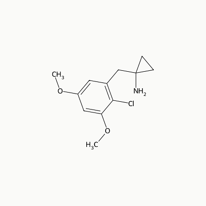 COc1cc(CC2(N)CC2)c(Cl)c(OC)c1